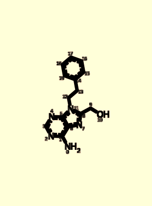 Nc1ncnc2c1nc(CO)n2CCc1ccccc1